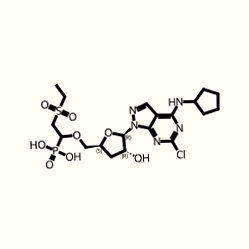 CCS(=O)(=O)CC(OC[C@@H]1C[C@@H](O)[C@H](n2ncc3c(NC4CCCC4)nc(Cl)nc32)O1)P(=O)(O)O